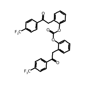 O=C(Oc1ccccc1CC(=O)c1ccc(C(F)(F)F)cc1)Oc1ccccc1CC(=O)c1ccc(C(F)(F)F)cc1